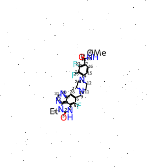 CCN1C(=O)Nc2c(F)c(CN3CCN(c4ccc(C(=O)NOC)c(F)c4F)CC3)cc3ncnc1c23